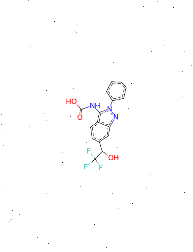 O=C(O)Nc1c2ccc(C(O)C(F)(F)F)cc2nn1-c1ccccc1